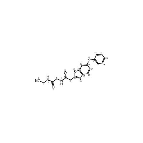 N#CCNC(=O)CNC(=O)Cc1nc2ccc(Sc3ccccc3)cc2s1